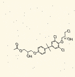 CC(=O)OCC(O)COc1ccc(C(C)(C)c2cc(Cl)c(OC[C@@H](O)CCl)c(Cl)c2)cc1